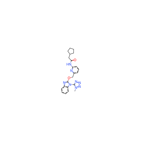 Cn1nnnc1-n1c(OCc2cccc(NC(=O)CC3CCCC3)n2)nc2ccccc21